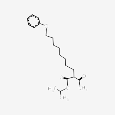 CC(=O)C(CCCCCCCCOc1ccccc1)C(=O)OC(C)C